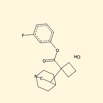 Cl.O=C(Oc1cccc(F)c1)C1(C2CN3CCC2CC3)CCC1